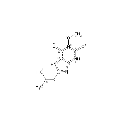 COn1c(=O)[nH]c2nc(CC(C)C)[nH]c2c1=O